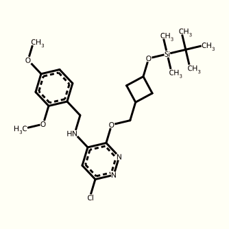 COc1ccc(CNc2cc(Cl)nnc2OCC2CC(O[Si](C)(C)C(C)(C)C)C2)c(OC)c1